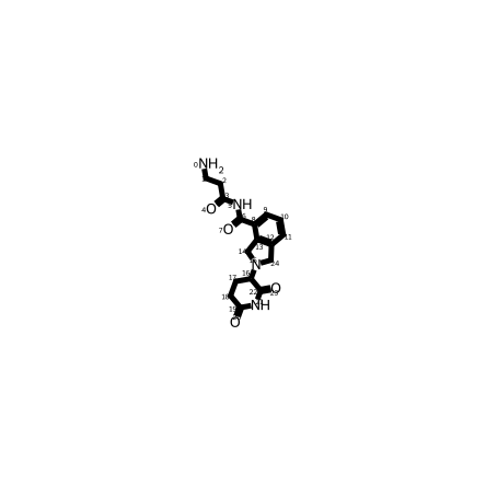 NCCC(=O)NC(=O)c1cccc2c1CN(C1CCC(=O)NC1=O)C2